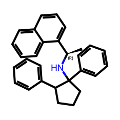 C[C@@H](NC1(c2ccccc2)CCCC1c1ccccc1)c1cccc2ccccc12